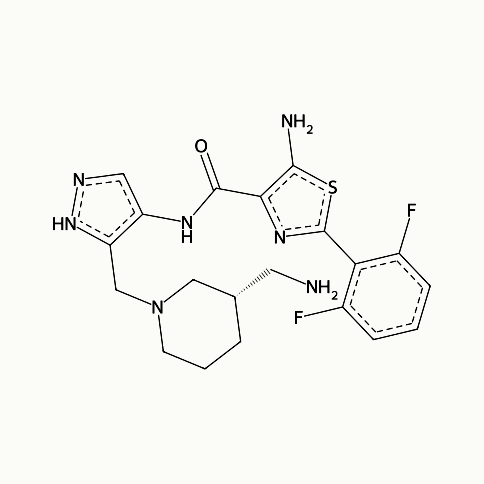 NC[C@@H]1CCCN(Cc2[nH]ncc2NC(=O)c2nc(-c3c(F)cccc3F)sc2N)C1